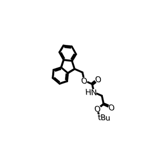 CC(C)(C)OC(=O)CNC(=O)OCC1c2ccccc2-c2ccccc21